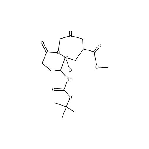 COC(=O)C1CNCN2C(=O)CCC(NC(=O)OC(C)(C)C)[N+]2([O-])C1